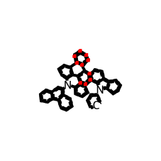 c1ccc(-c2ccccc2-c2c(-c3ccccc3)cccc2N(c2cccc(-c3cccc4c5ccccc5n(-c5ccccc5)c34)c2)c2cc3ccccc3c3ccccc23)cc1